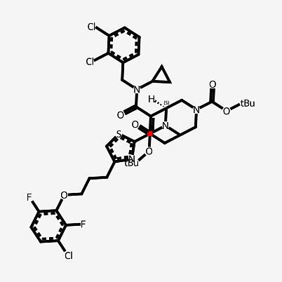 CC(C)(C)OC(=O)N1CC2CC(c3nc(CCCOc4c(F)ccc(Cl)c4F)cs3)=C(C(=O)N(Cc3cccc(Cl)c3Cl)C3CC3)[C@@H](C1)N2C(=O)OC(C)(C)C